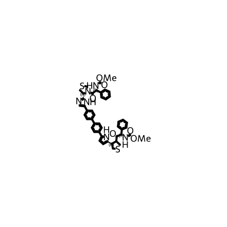 COC(=O)N[C@@H](C(=O)C1CSC[C@H]1c1ccc(-c2ccc(-c3ccc(-c4cnc([C@@H]5CSCN5C(=O)[C@H](NC(=O)OC)c5ccccc5)[nH]4)cc3)cc2)[nH]1)c1ccccc1